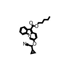 CCCCCOC(=O)c1c2ccccc2n2cc(OC(C#N)C3CC3)ccc12